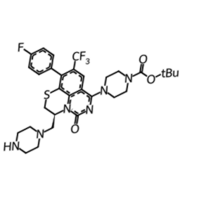 CC(C)(C)OC(=O)N1CCN(c2nc(=O)n3c4c(c(-c5ccc(F)cc5)c(C(F)(F)F)cc24)SC[C@@H]3CN2CCNCC2)CC1